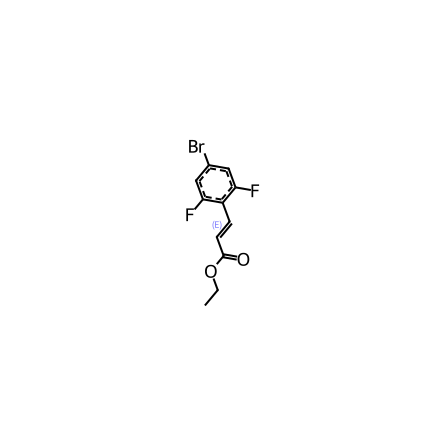 CCOC(=O)/C=C/c1c(F)cc(Br)cc1F